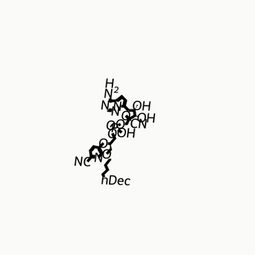 CCCCCCCCCCCCCCOC[C@H](COP(=O)(O)OC[C@@]1(C#N)OC(c2ccc3c(N)ncnn23)[C@H](O)[C@@H]1O)Oc1ccc(C#N)nc1